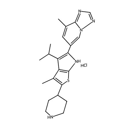 Cc1c(C2CCNCC2)sc2[nH]c(-c3cc(C)c4ncnn4c3)c(C(C)C)c12.Cl